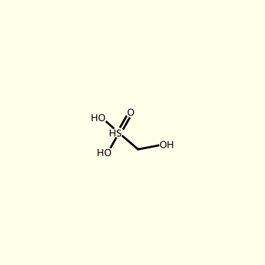 O=[SH](O)(O)CO